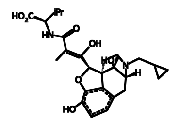 C/C(C(=O)N[C@@H](C(=O)O)C(C)C)=C(/O)[C@@H]1Oc2c(O)ccc3c2[C@@]12CCN(CC1CC1)[C@H](C3)[C@@]2(C)O